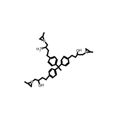 CC1CN1CC(N)CCc1ccc(C(C)(c2ccc(CCC(O)CN3CC3C)cc2)c2ccc(CCC(O)CN3CC3C)cc2)cc1